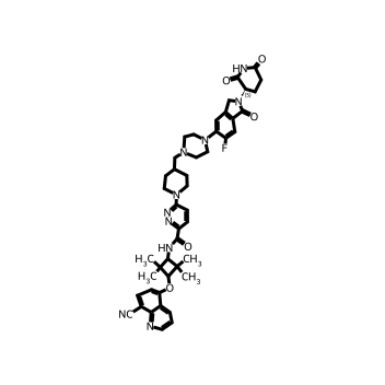 CC1(C)C(NC(=O)c2ccc(N3CCC(CN4CCN(c5cc6c(cc5F)C(=O)N([C@H]5CCC(=O)NC5=O)C6)CC4)CC3)nn2)C(C)(C)C1Oc1ccc(C#N)c2ncccc12